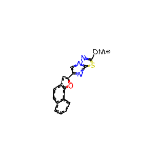 COc1nn2cc(-c3cc4ccc5ccccc5c4o3)nc2s1